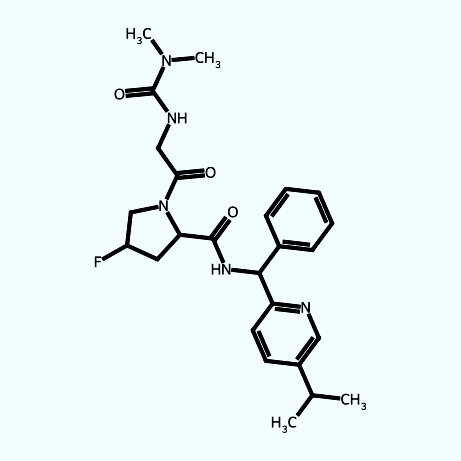 CC(C)c1ccc(C(NC(=O)C2CC(F)CN2C(=O)CNC(=O)N(C)C)c2ccccc2)nc1